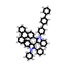 c1ccc(-c2ccc(-c3ccc(-n4c(-c5ccc6c7ccccc7c7ccccc7c6c5)c(-c5c(-c6ccccc6)n(-c6ccccc6)c6ccccc56)c5ccccc54)cc3)cc2)cc1